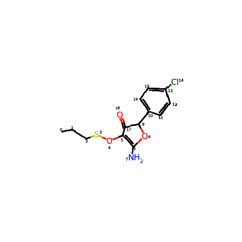 CCCSOC1=C(N)OC(c2ccc(Cl)cc2)C1=O